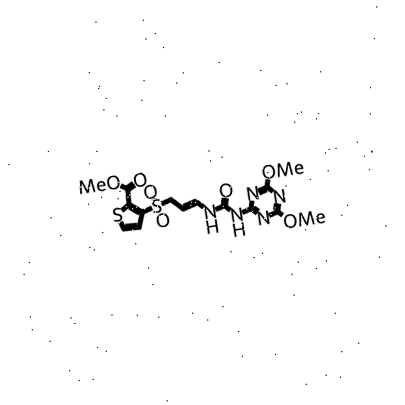 COC(=O)c1sccc1S(=O)(=O)CC=CNC(=O)Nc1nc(OC)nc(OC)n1